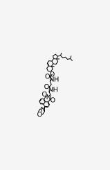 CC(C)CCCC(C)C1CCC2C3CC=C4CCC(OC(=O)NCCC(=O)NCCN5C(=O)c6cccc7c(N8CCOCC8)ccc(c67)C5=O)CC4(C)C3CCC12C